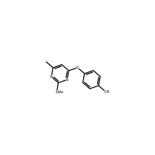 CSc1nc(C)cc(Oc2ccc(C#N)cc2)n1